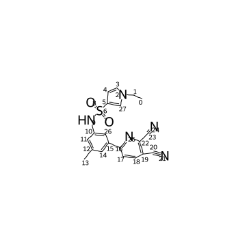 CCn1ccc(S(=O)(=O)Nc2cc(C)cc(-c3ccc(C#N)c(C#N)n3)c2)c1